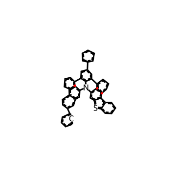 c1ccc(-c2cc(-c3ccccc3)c(N(c3ccc4ccc(-c5ccccc5)cc4c3)c3ccc4c(c3)sc3ccccc34)c(-c3ccccc3)c2)cc1